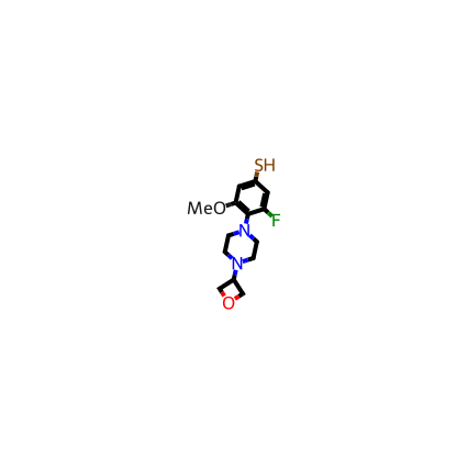 COc1cc(S)cc(F)c1N1CCN(C2COC2)CC1